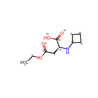 CCOC(=O)C[C@H](NC1CCC1)C(=O)O